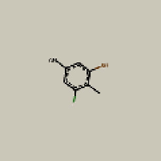 Cc1c(F)cc(N=O)cc1S